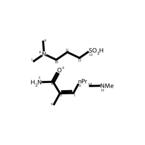 CCCC=C(C)C(N)=O.CN(C)CCCS(=O)(=O)O.CNC